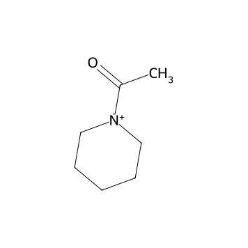 CC(=O)[N+]1CCCCC1